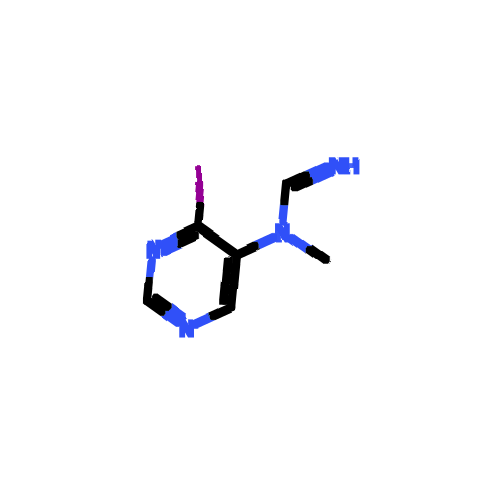 CN(C=N)c1cncnc1I